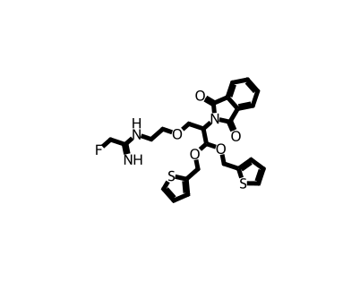 N=C(CF)NCCOCC(C(OCc1cccs1)OCc1cccs1)N1C(=O)c2ccccc2C1=O